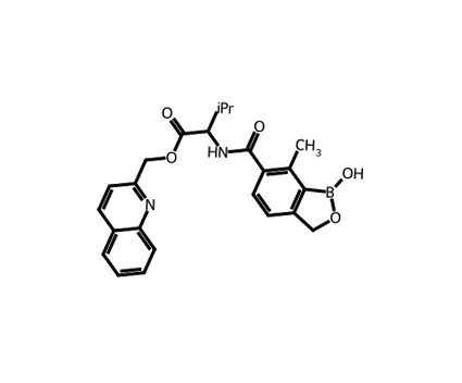 Cc1c(C(=O)NC(C(=O)OCc2ccc3ccccc3n2)C(C)C)ccc2c1B(O)OC2